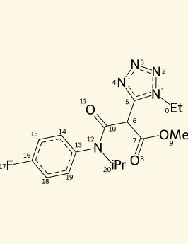 CCn1nnnc1C(C(=O)OC)C(=O)N(c1ccc(F)cc1)C(C)C